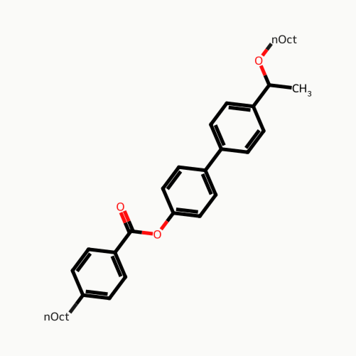 CCCCCCCCOC(C)c1ccc(-c2ccc(OC(=O)c3ccc(CCCCCCCC)cc3)cc2)cc1